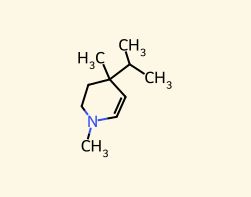 CC(C)C1(C)C=CN(C)CC1